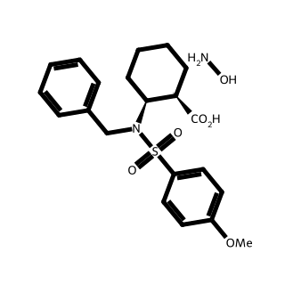 COc1ccc(S(=O)(=O)N(Cc2ccccc2)[C@H]2CCCC[C@H]2C(=O)O)cc1.NO